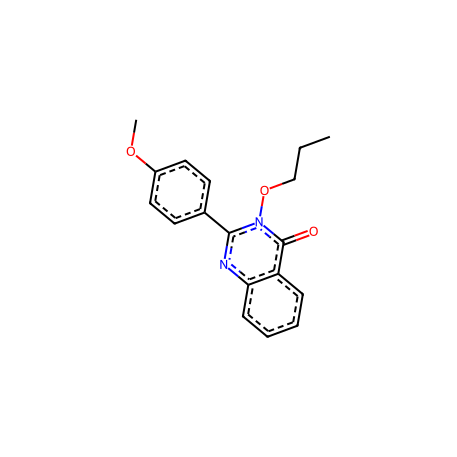 CCCOn1c(-c2ccc(OC)cc2)nc2ccccc2c1=O